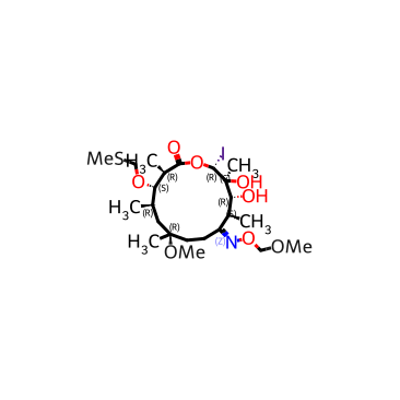 COCO/N=C1/CC[C@@](C)(OC)C[C@@H](C)[C@H](OCSC)[C@@H](C)C(=O)O[C@H](I)[C@@](C)(O)[C@H](O)[C@H]1C